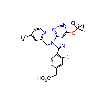 Cc1ccnc(Cn2c(-c3ccc(CC(=O)O)cc3Cl)nc3c(OC4(C)CC4)ncnc32)c1